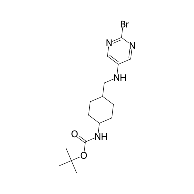 CC(C)(C)OC(=O)NC1CCC(CNc2cnc(Br)nc2)CC1